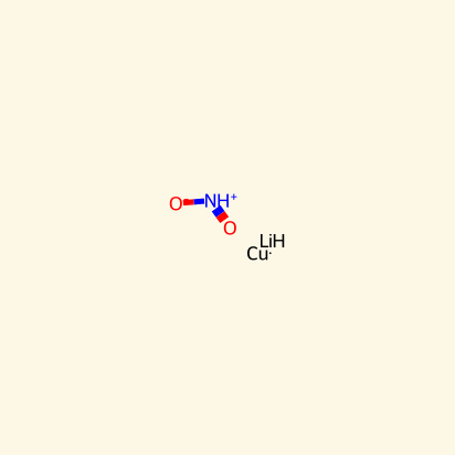 O=[NH+][O-].[Cu].[LiH]